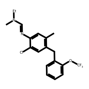 CCN(C)C=Nc1cc(C)c(Cc2ccccc2OC(F)(F)F)cc1Cl